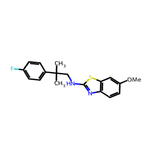 COc1ccc2nc(NCC(C)(C)c3ccc(F)cc3)sc2c1